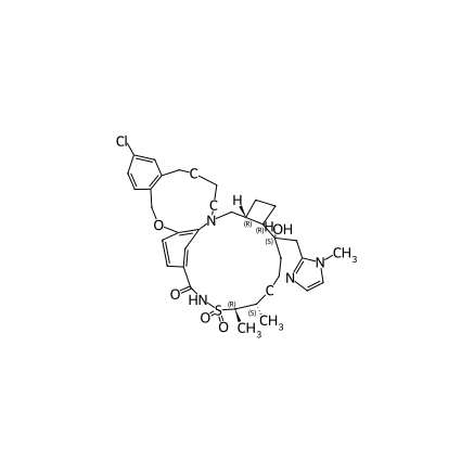 C[C@@H]1[C@@H](C)CCC[C@](O)(Cc2nccn2C)[C@@H]2CC[C@H]2CN2CCCCc3cc(Cl)ccc3COc3ccc(cc32)C(=O)NS1(=O)=O